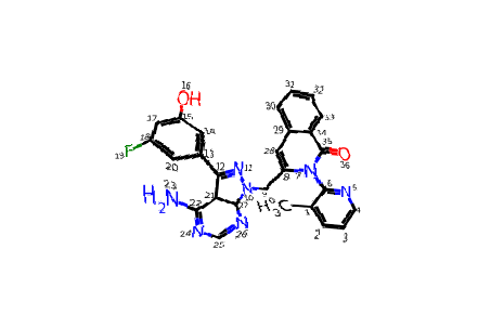 Cc1cccnc1-n1c(CN2N=C(c3cc(O)cc(F)c3)C3C(N)=NC=NC32)cc2ccccc2c1=O